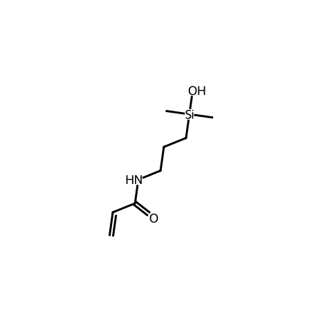 C=CC(=O)NCCC[Si](C)(C)O